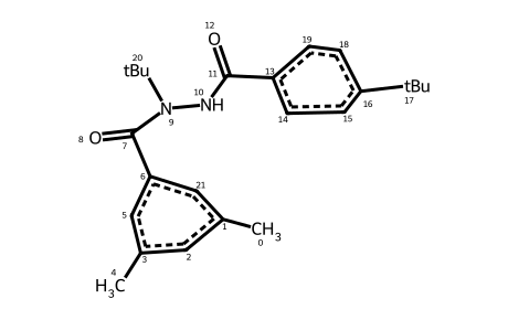 Cc1cc(C)cc(C(=O)N(NC(=O)c2ccc(C(C)(C)C)cc2)C(C)(C)C)c1